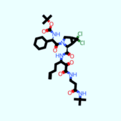 C=CCCC(NC(=O)[C@@H]1C2C(CN1C(=O)[C@@H](NC(=O)OC(C)(C)C)C1CCCCC1)C2(Cl)Cl)C(=O)C(=O)NCCC(=O)NC(C)(C)C